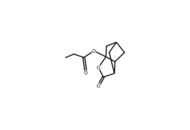 CCC(=O)OC12CC3CC(C(=O)O1)C2C3